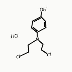 Cl.Oc1ccc(N(CCCl)CCCl)cc1